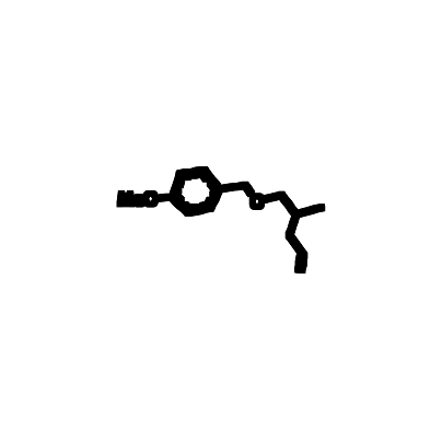 C=CCC(C)COCc1ccc(OC)cc1